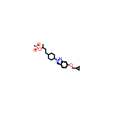 CC(CCC1CCC(n2cc3ccc(OCC4CC4)cc3n2)CC1)OS(C)(=O)=O